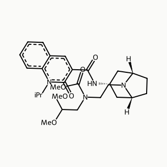 COC(=O)N(CCN1[C@@H]2CC[C@H]1C[C@@H](NC(=O)c1cc3ccccc3n(C(C)C)c1=O)C2)CC(OC)OC